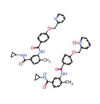 Cc1ccc(C(=O)NC2CC2)cc1NC(=O)c1ccc(OCc2cccc[n+]2[O-])cc1.Cc1ccc(C(=O)NC2CC2)cc1NC(=O)c1ccc(OCc2ccccn2)cc1